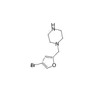 Brc1coc(CN2CCNCC2)c1